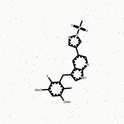 COc1cc(OC)c(F)c(Cc2c[nH]c3ncc(-c4cnn(S(C)(=O)=O)c4)cc23)c1F